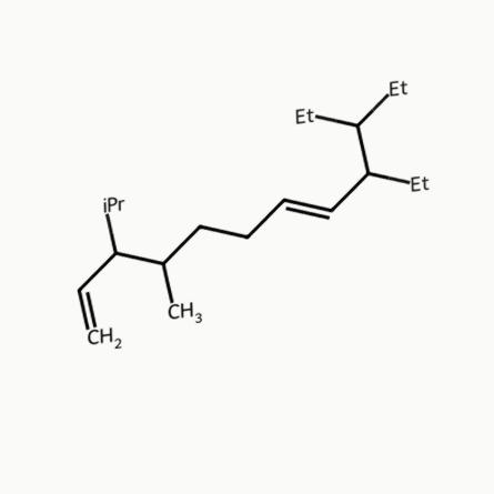 C=CC(C(C)C)C(C)CCC=CC(CC)C(CC)CC